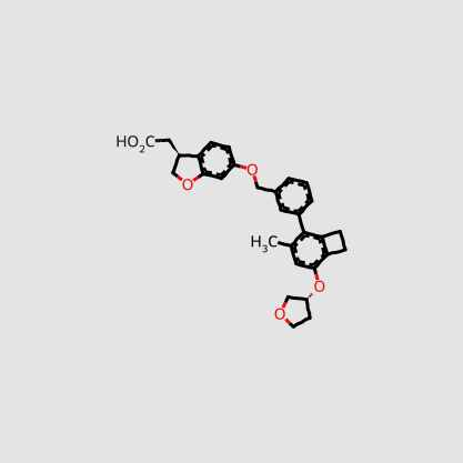 Cc1cc(O[C@@H]2CCOC2)c2c(c1-c1cccc(COc3ccc4c(c3)OC[C@H]4CC(=O)O)c1)CC2